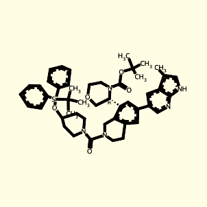 Cc1c[nH]c2ncc(-c3cc4c(c([C@@H]5COCCN5C(=O)OC(C)(C)C)c3)CN(C(=O)N3CCC(O[Si](c5ccccc5)(c5ccccc5)C(C)(C)C)CC3)CC4)cc12